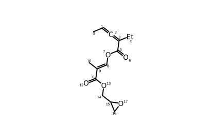 CC=C=C(CC)C(=O)OC=C(C)C(=O)OCC1CO1